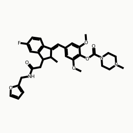 COc1cc(C=C2c3ccc(F)cc3C(CC(=O)NCc3ccco3)C2C)cc(OC)c1OC(=O)N1CCN(C)CC1